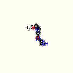 COc1cccc2ccc(N3CCC(c4nc(-c5cnc6[nH]ccc6c5)no4)CC3)nc12